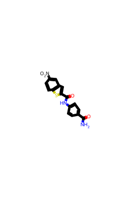 NC(=O)c1ccc(NC(=O)c2cc3cc([N+](=O)[O-])ccc3s2)cc1